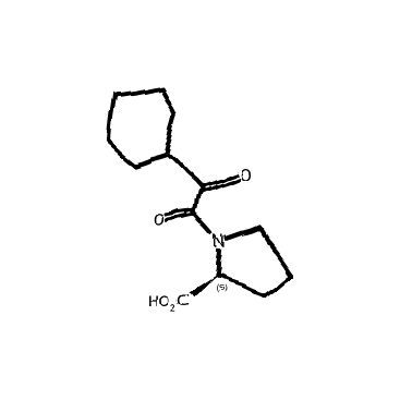 O=C(C(=O)N1CCC[C@H]1C(=O)O)C1CCCCC1